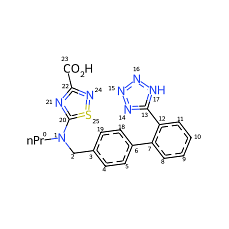 CCCN(Cc1ccc(-c2ccccc2-c2nnn[nH]2)cc1)c1nc(C(=O)O)ns1